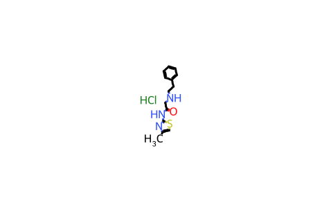 Cc1csc(NC(=O)CNCCc2ccccc2)n1.Cl